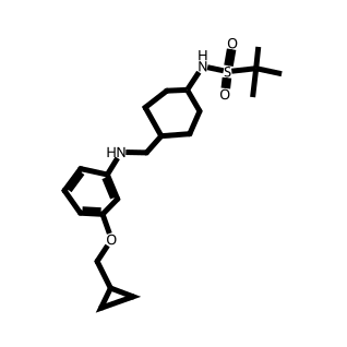 CC(C)(C)S(=O)(=O)NC1CCC(CNc2cccc(OCC3CC3)c2)CC1